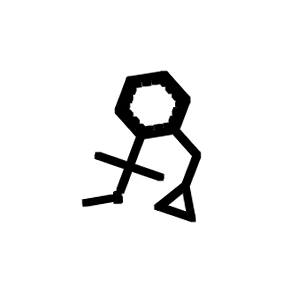 CSC(C)(C)c1ccccc1CC1CC1